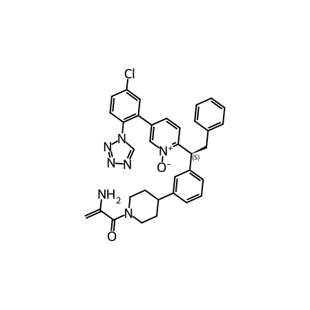 C=C(N)C(=O)N1CCC(c2cccc([C@H](Cc3ccccc3)c3ccc(-c4cc(Cl)ccc4-n4cnnn4)c[n+]3[O-])c2)CC1